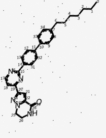 CCCCCCCc1ccc(-c2ccc(-c3nccc(-c4cc5n(n4)CCNC5=O)n3)cc2)cc1